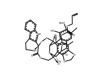 C=CCOC(=O)Oc1c(C)c2c(c3c1[C@H]1SC[C@]4(NCCc5c4[nH]c4ccccc54)C(=O)OC[C@@H]3N3C1[C@@H]1c4c(cc(C)c(OC)c4O)C[C@@H]([C@@H]3C#N)N1C)OCO2